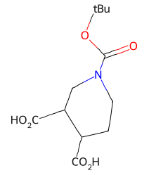 CC(C)(C)OC(=O)N1CCC(C(=O)O)C(C(=O)O)C1